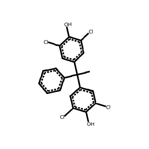 CC(c1ccccc1)(c1cc(Cl)c(O)c(Cl)c1)c1cc(Cl)c(O)c(Cl)c1